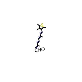 CC(/C=C/C=C(C)/C=C/c1c(C)sc(C)c1C)=C\C=O